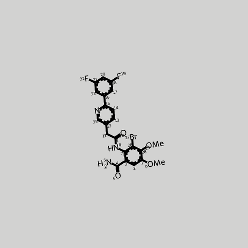 COc1cc(C(N)=O)c(NC(=O)Cc2ccc(-c3cc(F)cc(F)c3)nc2)c(Br)c1OC